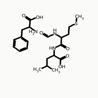 CSCCC(NC=O)C(=O)NC(CC(C)C)C(=O)O.NC(Cc1ccccc1)C(=O)O